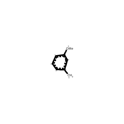 COc1[c]c(C)ccc1